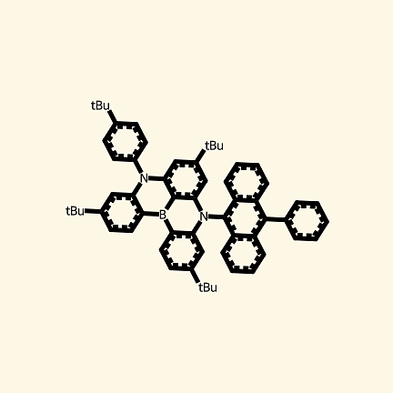 CC(C)(C)c1ccc(N2c3cc(C(C)(C)C)ccc3B3c4ccc(C(C)(C)C)cc4N(c4c5ccccc5c(-c5ccccc5)c5ccccc45)c4cc(C(C)(C)C)cc2c43)cc1